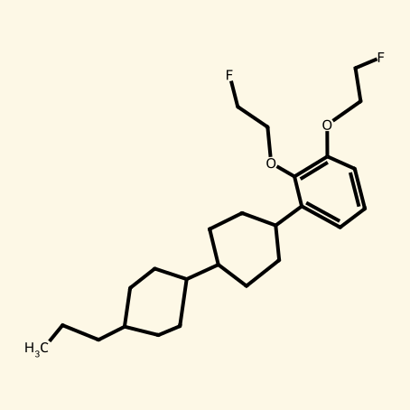 CCCC1CCC(C2CCC(c3cccc(OCCF)c3OCCF)CC2)CC1